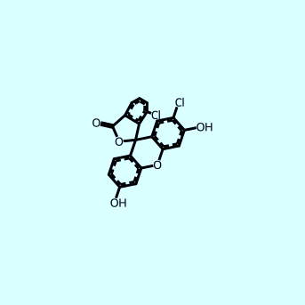 O=C1OC2(c3ccc(O)cc3Oc3cc(O)c(Cl)cc32)c2c(Cl)cccc21